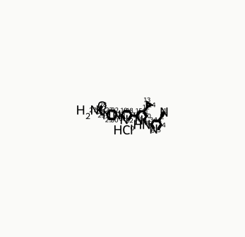 Cl.N#Cc1ccnc(Nc2cc(C3CC3)cc(-c3ccc(N4CCN(CC(N)=O)CC4)nc3)n2)c1